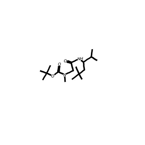 CC(C)C(CC(C)(C)C)NC(=O)CN(C)C(=O)OC(C)(C)C